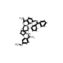 COc1ccc([C@@H](C)N[C@@H]2CCCC23CCN(c2nc(N=C(c4ccccc4)c4ccccc4)ccc2C(N)=O)CC3)cc1